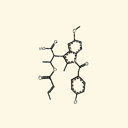 C/C=C/C(=O)OC(C)C(C(=O)O)c1c(C)n(C(=O)c2ccc(Cl)cc2)c2ccc(OC)cc12